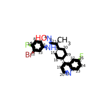 C[C@@H](/C(=N/O)Nc1ccc(F)c(Br)c1)[C@H]1CC[C@@H](c2ccnc3ccc(F)cc32)CC1